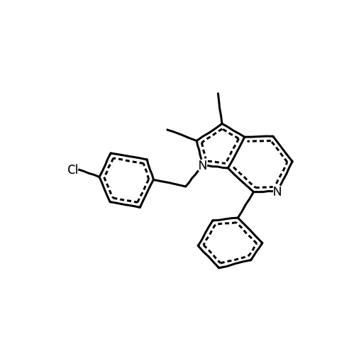 Cc1c(C)n(Cc2ccc(Cl)cc2)c2c(-c3ccccc3)nccc12